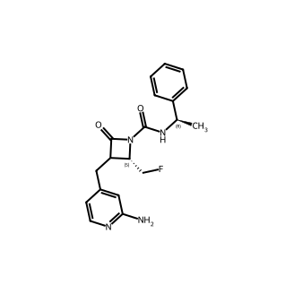 C[C@@H](NC(=O)N1C(=O)C(Cc2ccnc(N)c2)[C@H]1CF)c1ccccc1